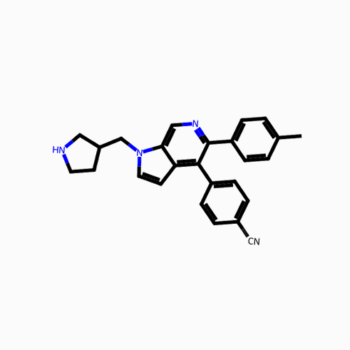 Cc1ccc(-c2ncc3c(ccn3CC3CCNC3)c2-c2ccc(C#N)cc2)cc1